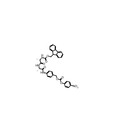 C[C@H](NC(=O)OCC1c2ccccc2-c2ccccc21)C(=O)N[C@@H](C)C(=O)Nc1ccc(COC(=O)Oc2ccc([N+](=O)[O-])cc2)cc1